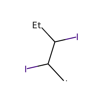 [CH2]C(I)C(I)CC